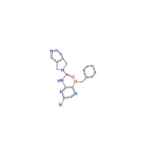 O=C(Nc1nc(Br)cnc1OCc1ccccc1)N1Cc2ccncc2C1